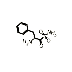 N[C@@H](Cc1ccccc1)C(=O)S(N)(=O)=O